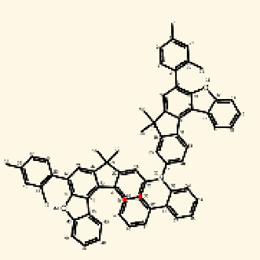 Cc1ccc(-c2cc3c(c4c2oc2ccccc24)-c2ccc(N(c4ccc5c(c4)C(C)(C)c4cc(-c6ccc(C)cc6C)c6oc7ccccc7c6c4-5)c4ccccc4-c4ccccc4)cc2C3(C)C)c(C)c1